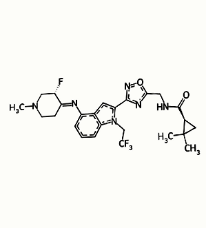 CN1CC/C(=N\c2cccc3c2cc(-c2noc(CNC(=O)[C@H]4CC4(C)C)n2)n3CC(F)(F)F)[C@@H](F)C1